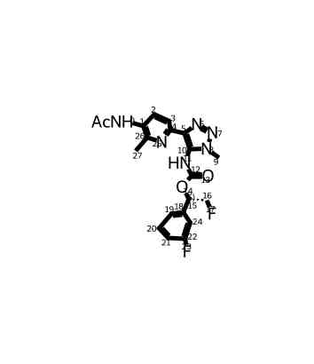 CC(=O)Nc1ccc(-c2nnn(C)c2NC(=O)O[C@H](CF)c2cccc(F)c2)nc1C